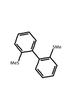 CSc1[c]cccc1-c1ccccc1SC